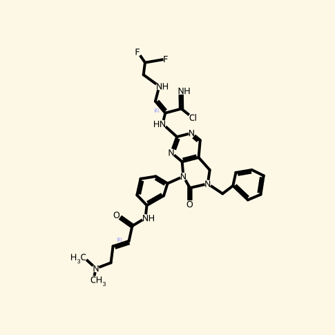 CN(C)C/C=C/C(=O)Nc1cccc(N2C(=O)N(Cc3ccccc3)Cc3cnc(N/C(=C/NCC(F)F)C(=N)Cl)nc32)c1